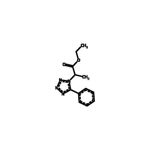 CCOC(=O)C(C)n1nnnc1-c1ccccc1